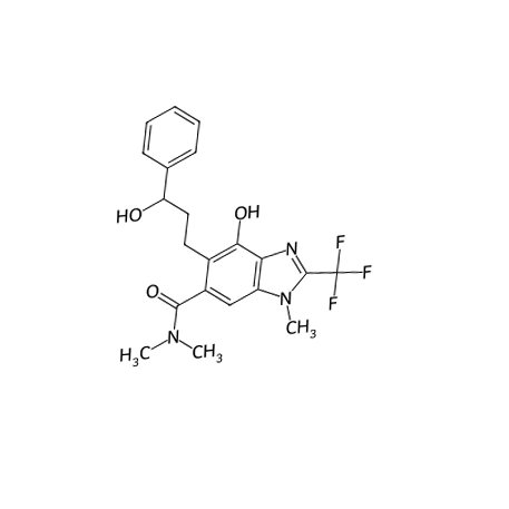 CN(C)C(=O)c1cc2c(nc(C(F)(F)F)n2C)c(O)c1CCC(O)c1ccccc1